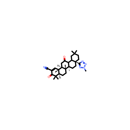 Cn1nnc([C@]23CCC(C)(C)CC2C2C(=O)C[C@@H]4[C@@]5(C)C=C(C#N)C(=O)C(C)(C)[C@@H]5CC[C@@]4(C)[C@]2(C)CC3)n1